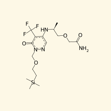 C[C@@H](COCC(N)=O)Nc1cnn(COCC[Si](C)(C)C)c(=O)c1C(F)(F)F